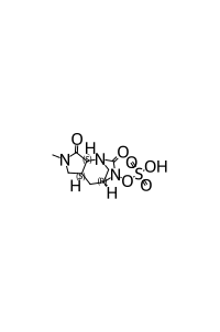 CN1C[C@@H]2C[C@@H]3CN(C(=O)N3OS(=O)(=O)O)[C@@H]2C1=O